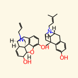 C=CCN1CC[C@]23c4c5ccc(O)c4O[C@H]2[C@@H](O)C=C[C@H]3[C@H]1C5.CC(C)=CCN1CC[C@@]2(C)c3cc(O)ccc3C[C@@H]1[C@@H]2C